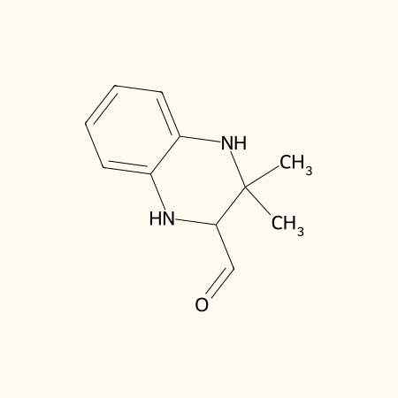 CC1(C)Nc2ccccc2NC1C=O